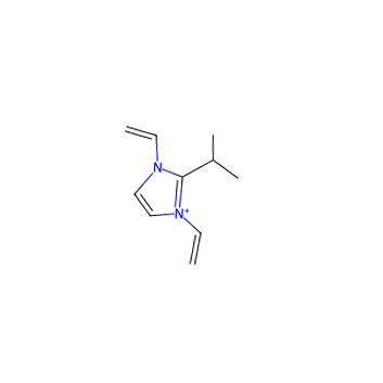 C=Cn1cc[n+](C=C)c1C(C)C